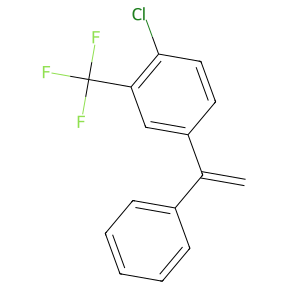 C=C(c1ccccc1)c1ccc(Cl)c(C(F)(F)F)c1